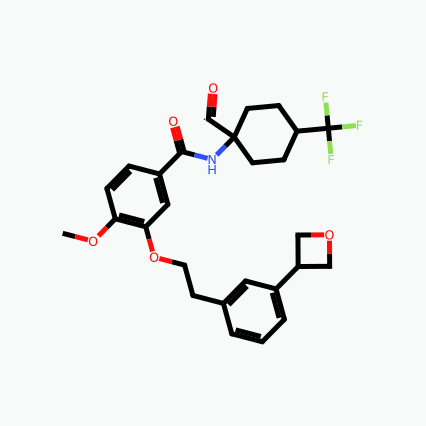 COc1ccc(C(=O)NC2([C]=O)CCC(C(F)(F)F)CC2)cc1OCCc1cccc(C2COC2)c1